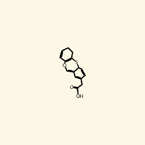 O=C(O)CC1=CC2=COC3=C(CCC=C3)SC2C=C1